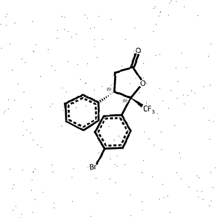 O=C1C[C@@H](c2ccccc2)[C@](c2ccc(Br)cc2)(C(F)(F)F)O1